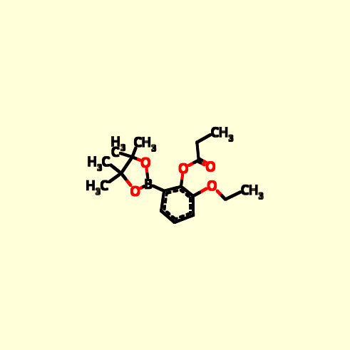 CCOc1cccc(B2OC(C)(C)C(C)(C)O2)c1OC(=O)CC